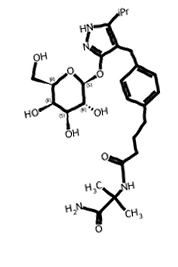 CC(C)c1[nH]nc(O[C@@H]2O[C@H](CO)[C@H](O)[C@H](O)[C@H]2O)c1Cc1ccc(CCCC(=O)NC(C)(C)C(N)=O)cc1